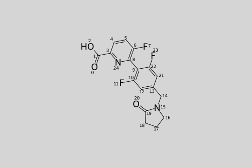 O=C(O)c1ccc(F)c(-c2c(F)cc(CN3CCCC3=O)cc2F)n1